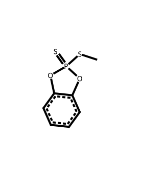 CSP1(=S)Oc2ccccc2O1